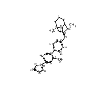 C[C@]12CCC[C@](C)(C/C(=C\c3cnc(-c4cnc(-n5ccnc5)cc4O)nn3)C1)N2